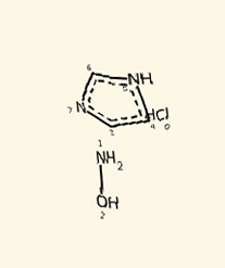 Cl.NO.c1c[nH]cn1